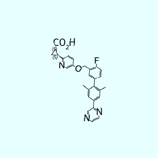 Cc1cc(-c2cnccn2)cc(C)c1-c1ccc(F)c(COc2ccc([C@H]3C[C@@H]3C(=O)O)nc2)c1